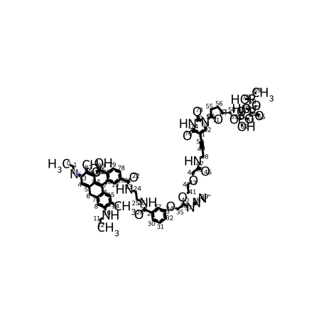 CC/N=C1/C=C2Cc3cc(NCC)c(C)cc3C(c3cc(C(=O)NCCNC(=O)c4cccc(OCC(N=[N+]=[N-])OCCOCC(=O)NCC#Cc5cn([C@H]6CC[C@@H](COP(=O)(O)OP(=O)(O)OP(C)O)O6)c(=O)[nH]c5=O)c4)ccc3C(=O)O)=C2C=C1C